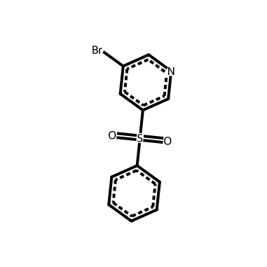 O=S(=O)(c1ccccc1)c1cncc(Br)c1